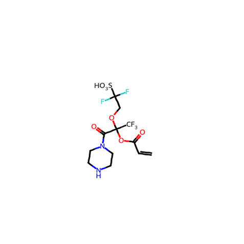 C=CC(=O)OC(OCC(F)(F)S(=O)(=O)O)(C(=O)N1CCNCC1)C(F)(F)F